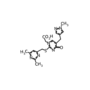 Cc1cc(CSc2nc(=O)c(Cc3cnn(C)c3)cn2CC(=O)O)nc(C)n1